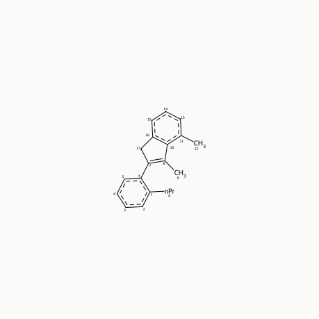 CCCc1ccccc1C1=C(C)c2c(C)cccc2[CH]1